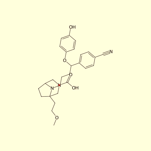 COCCC12CCC(CN(C(=O)O)C1)N2CCCC(Oc1ccc(O)cc1)c1ccc(C#N)cc1